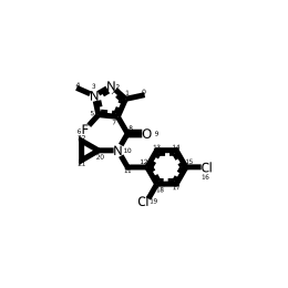 Cc1nn(C)c(F)c1C(=O)N(Cc1ccc(Cl)cc1Cl)C1CC1